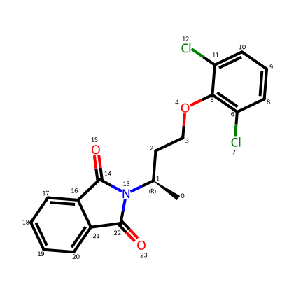 C[C@H](CCOc1c(Cl)cccc1Cl)N1C(=O)c2ccccc2C1=O